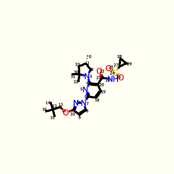 C[C@@H]1CN(c2nc(-n3ccc(OCC(C)(C)C)n3)ccc2C(=O)NS(=O)(=O)C2CC2)C(C)(C)C1